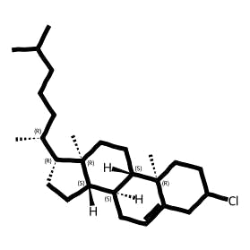 CC(C)CCC[C@@H](C)[C@H]1CC[C@H]2[C@@H]3CC=C4CC(Cl)CC[C@]4(C)[C@H]3CC[C@]12C